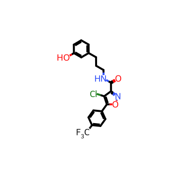 O=C(NCCCc1cccc(O)c1)c1noc(-c2ccc(C(F)(F)F)cc2)c1Cl